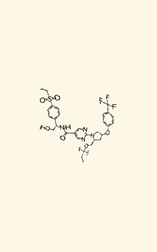 CCC(F)(F)OC[C@@H]1C[C@H](Oc2ccc(C(F)(F)F)cc2)CN1c1ncc(C(=O)N[C@@H](CO)c2ccc(S(=O)(=O)CC)cc2)cn1